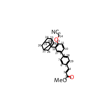 COC(=O)C=Cc1ccc(-c2ccc(OCC#N)c(C34CC5CC(CC(C5)C3)C4)c2)cc1